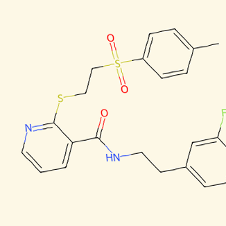 Cc1ccc(S(=O)(=O)CCSc2ncccc2C(=O)NCCc2cccc(F)c2)cc1